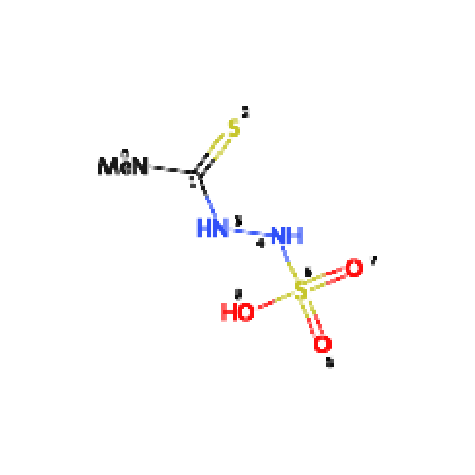 CNC(=S)NNS(=O)(=O)O